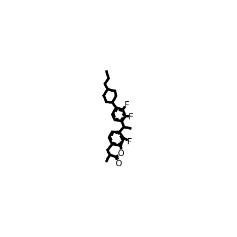 CCCC1CCC(c2ccc(C(C)c3ccc4c(c3F)OC(=O)C(C)C4)c(F)c2F)CC1